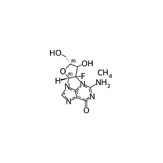 C.Nc1nc(=O)c2ncn3c2n1C1(F)C(O)[C@@H](CO)O[C@@H]31